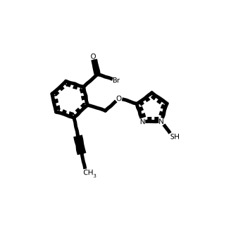 CC#Cc1cccc(C(=O)Br)c1COc1ccn(S)n1